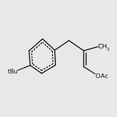 CC(=O)OC=C(C)Cc1ccc(C(C)(C)C)cc1